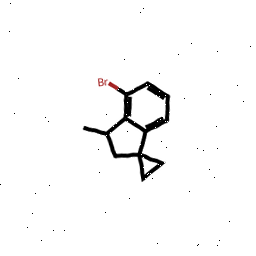 CC1CC2(CC2)c2cccc(Br)c21